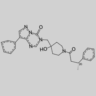 C[C@H](CC(=O)N1CCC(O)(Cn2cnc3c(-c4ccccc4)cnn3c2=O)CC1)c1ccccc1